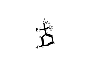 CCC(CC)(OC(C)=O)c1cccc(F)c1